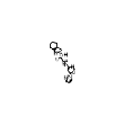 O=C(Nc1nc2c(s1)CCCC2)C1CN(c2cc(-n3cccn3)ncn2)C1